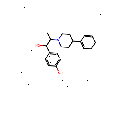 CC(C(O)c1ccc(O)cc1)N1CCC(C2=CCCC=C2)CC1